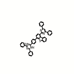 c1ccc(C2=NC(c3ccccc3)NC(c3ccc(-c4ccc(-c5nc(-c6ccccc6)cc(-c6ccccc6)n5)c5c4sc4ccccc45)cc3)N2)cc1